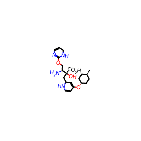 C[C@H]1CC[C@H](OC2=CC(C[C@](O)(C(=O)O)[C@@H](N)COC3=NC=CCN3)NC=C2)CC1